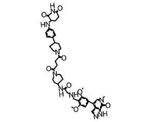 COc1cc(-c2cn(C)c(=O)c3[nH]ncc23)cc(OC)c1CNCC(=O)NC1CCN(C(=O)CCC(=O)N2CCC(c3ccc(NC4CCC(=O)NC4=O)cc3)CC2)CC1